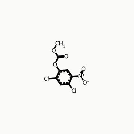 COC(=O)Oc1cc([N+](=O)[O-])c(Cl)cc1Cl